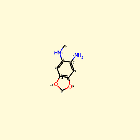 CNc1cc2c(cc1N)OCO2